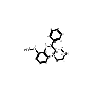 CCCOc1cccc(F)c1O[C@@H](c1ccccc1)[C@@H]1CNCCO1